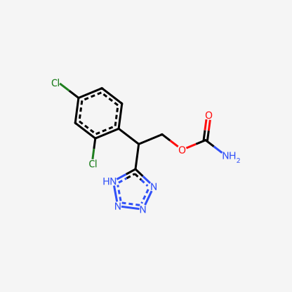 NC(=O)OCC(c1nnn[nH]1)c1ccc(Cl)cc1Cl